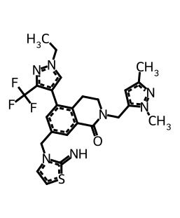 CCn1cc(-c2cc(Cn3ccsc3=N)cc3c2CCN(Cc2cc(C)nn2C)C3=O)c(C(F)(F)F)n1